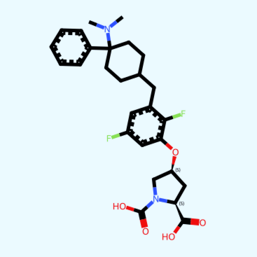 CN(C)C1(c2ccccc2)CCC(Cc2cc(F)cc(O[C@H]3C[C@@H](C(=O)O)N(C(=O)O)C3)c2F)CC1